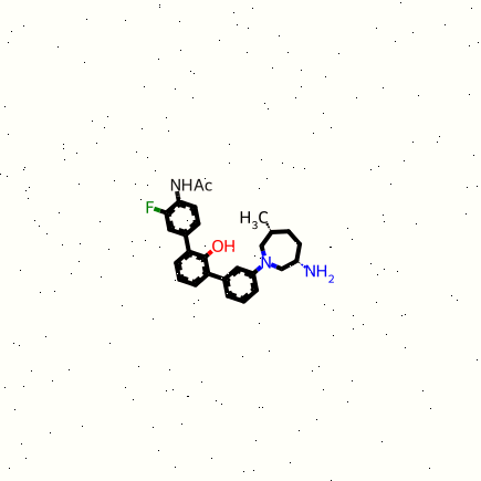 CC(=O)Nc1ccc(-c2cccc(-c3cccc(N4C[C@H](C)CC[C@H](N)C4)c3)c2O)cc1F